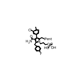 CCCC(C)Cc1c(-c2ccc(C)c(Cl)c2)c(C(N)=O)c(Cc2ccc(F)cc2)n1CCCOP(=O)(O)O